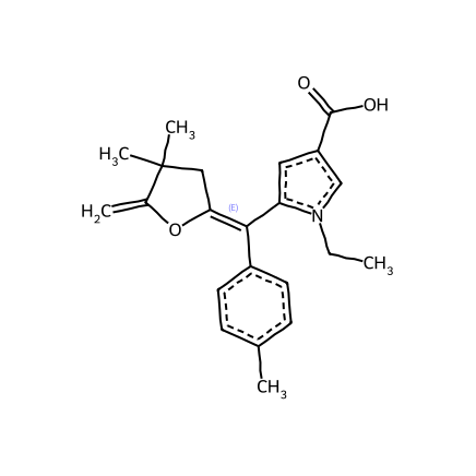 C=C1O/C(=C(\c2ccc(C)cc2)c2cc(C(=O)O)cn2CC)CC1(C)C